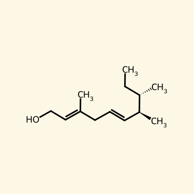 CC[C@H](C)[C@@H](C)/C=C/C/C(C)=C/CO